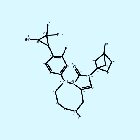 CCc1cc([SH]2CCCN(C)Cc3cn(C45CCC(C)(C4)C5)c(=O)n32)ccc1C1C(C(C)C)C1(F)F